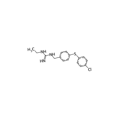 CCNC(=N)NCc1ccc(Sc2ccc(Cl)cc2)cc1